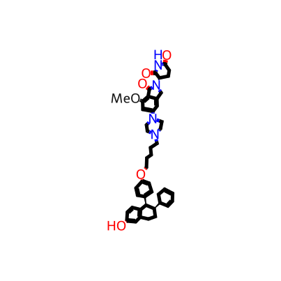 COc1cc(N2CCN(CCCCCOc3ccc([C@@H]4c5ccc(O)cc5CC[C@@H]4C4C=CC=CC4)cc3)CC2)cc2c1C(=O)N([C@H]1CCC(=O)NC1=O)C2